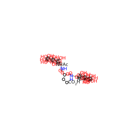 CC(=O)N[C@H]1[C@H](OCCCNC(=O)COc2cc(OCC(=O)NCCCO[C@@H]3O[C@H](CO)[C@@H](O[C@@H]4O[C@H](CO)[C@H](O)[C@H](O[C@H]5O[C@H](CO)[C@H](O)[C@H](O)[C@H]5O)[C@H]4O)[C@H](O)[C@H]3NC(C)=O)cc(-c3cccc(-c4cccc(C(=O)O)c4)c3)c2)O[C@H](CO)[C@@H](O[C@@H]2O[C@H](CO)[C@H](O)[C@H](O[C@H]3O[C@H](CO)[C@H](O)[C@H](O)[C@H]3O)[C@H]2O)[C@@H]1O